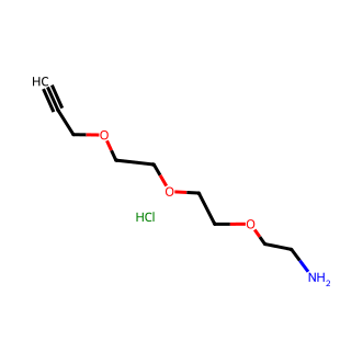 C#CCOCCOCCOCCN.Cl